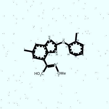 CON=C(C(=O)O)c1cc(C)cc2sc(Oc3ccccc3C)nc12